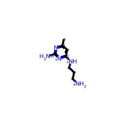 Cc1cc(NCCCN)nc(N)n1